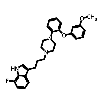 COc1cccc(Oc2ccccc2N2CCN(CCCc3c[nH]c4c(F)cccc34)CC2)c1